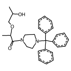 CC(O)COC(C)C(=O)N1CCN(C(c2ccccc2)(c2ccccc2)c2ccccc2)CC1